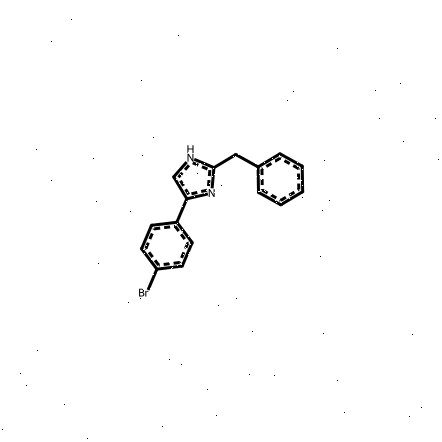 Brc1ccc(-c2c[nH]c(Cc3ccccc3)n2)cc1